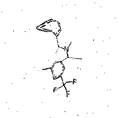 Cc1cc(C(C)N(C)[C@H](C)c2ccccc2)cc(C(F)(F)F)c1